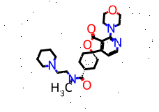 CN(CCN1CCCCC1)C(=O)[C@H]1CC[C@@]2(CC1)OC(=O)c1c(N3CCOCC3)nccc12